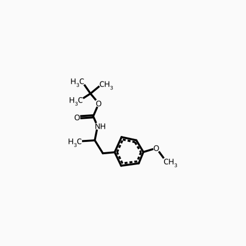 COc1ccc(CC(C)NC(=O)OC(C)(C)C)cc1